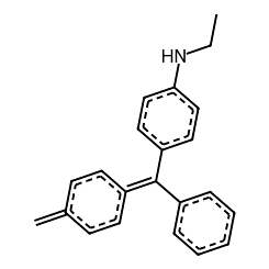 C=c1ccc(=C(c2ccccc2)c2ccc(NCC)cc2)cc1